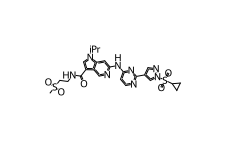 CC(C)n1cc(C(=O)NCCS(C)(=O)=O)c2cnc(Nc3ccnc(-c4cnn(S(=O)(=O)C5CC5)c4)n3)cc21